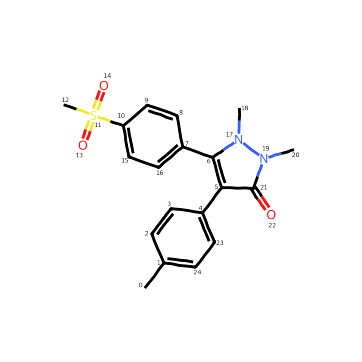 Cc1ccc(-c2c(-c3ccc(S(C)(=O)=O)cc3)n(C)n(C)c2=O)cc1